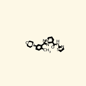 Cc1ccc(N2CCOCC2)cc1-c1nc2c(C(=O)Nc3nccs3)cccn2n1